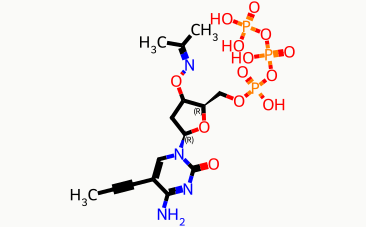 CC#Cc1cn([C@H]2CC(ON=C(C)C)[C@@H](COP(=O)(O)OP(=O)(O)OP(=O)(O)O)O2)c(=O)nc1N